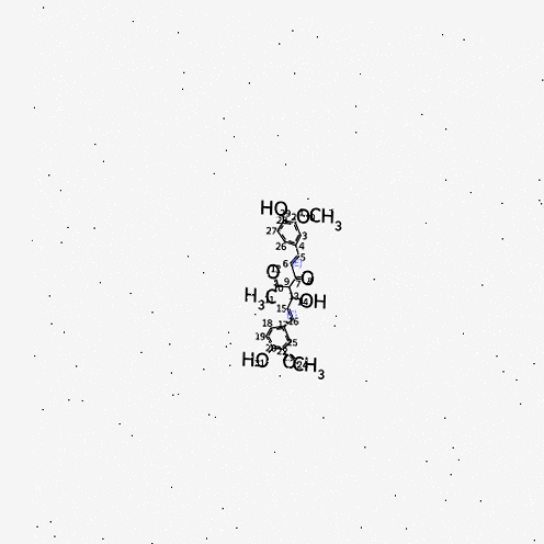 COc1cc(/C=C/C(=O)C(C(C)=O)C(O)/C=C/c2ccc(O)c(OC)c2)ccc1O